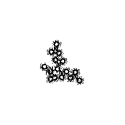 c1ccc(-c2nc(-c3cc(-n4c5ccccc5c5c(-c6cccc7c6c6ccccc6n7-c6ccccc6)cccc54)cc(-n4c5ccccc5c5c(-c6cccc7c6c6ccccc6n7-c6ccccc6)cccc54)c3)c3c(n2)-c2cccc4cccc-3c24)cc1